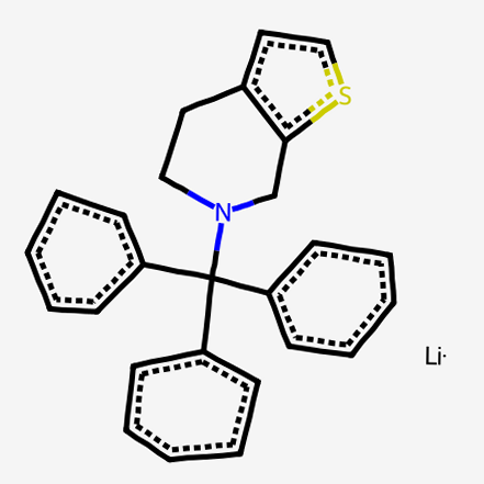 [Li].c1ccc(C(c2ccccc2)(c2ccccc2)N2CCc3ccsc3C2)cc1